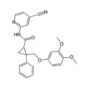 COc1ccc(OCC2(c3ccccc3)CC2C(=O)Nc2cc(C#N)ccn2)cc1OC